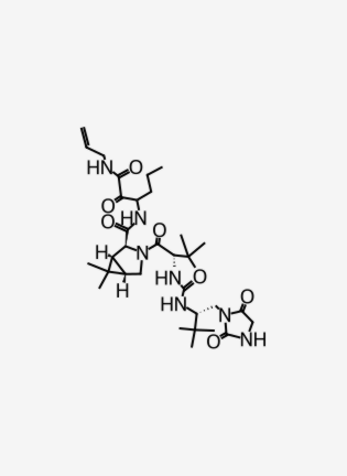 C=CCNC(=O)C(=O)C(CCC)NC(=O)[C@@H]1[C@@H]2[C@H](CN1C(=O)[C@@H](NC(=O)N[C@H](CN1C(=O)CNC1=O)C(C)(C)C)C(C)(C)C)C2(C)C